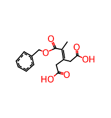 CC(C(=O)OCc1ccccc1)=C(CC(=O)O)CC(=O)O